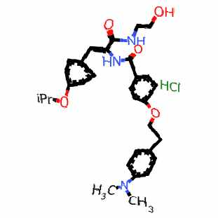 CC(C)Oc1ccc(/C=C(\NC(=O)c2ccc(OCCc3ccc(N(C)C)cc3)cc2)C(=O)NCCO)cc1.Cl